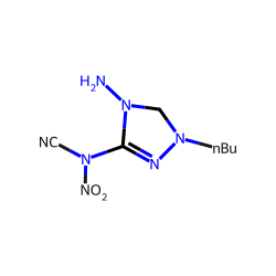 CCCCN1CN(N)C(N(C#N)[N+](=O)[O-])=N1